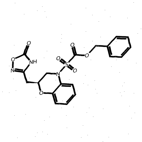 O=C(OCc1ccccc1)S(=O)(=O)N1C[C@H](Cc2noc(=O)[nH]2)Oc2ccccc21